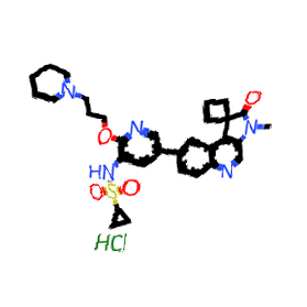 CN1C(=O)C2(CCC2)c2c1cnc1ccc(-c3cnc(OCCCN4CCCCC4)c(NS(=O)(=O)C4CC4)c3)cc21.Cl